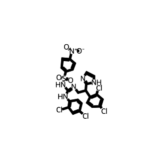 O=[N+]([O-])c1ccc(S(=O)(=O)NC(=NCC(c2ncc[nH]2)c2ccc(Cl)cc2Cl)Nc2ccc(Cl)cc2Cl)cc1